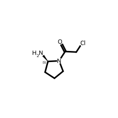 N[C@@H]1CCCN1C(=O)CCl